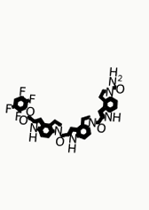 NC(=O)N1CCc2c1ccc1[nH]c(C(=O)N3CCc4c3ccc3[nH]c(C(=O)N5CCc6c5ccc5[nH]c(C(=O)Oc7c(F)c(F)cc(F)c7F)cc65)cc43)cc21